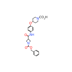 O=C(Nc1ccc(OC2CCN(C(=O)O)CC2)cc1)C1CN(C(=O)OCc2ccccc2)C1